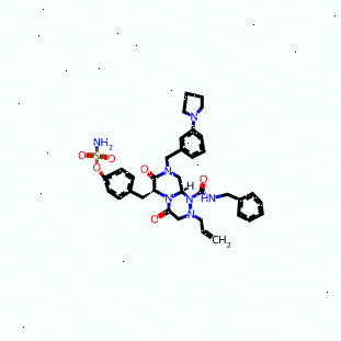 C=CCN1CC(=O)N2[C@@H](Cc3ccc(OS(N)(=O)=O)cc3)C(=O)N(Cc3cccc(N4CCCC4)c3)C[C@@H]2N1C(=O)NCc1ccccc1